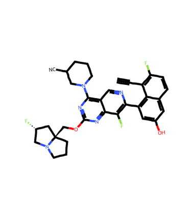 C#Cc1c(F)ccc2cc(O)cc(-c3ncc4c(N5CCCC(C#N)C5)nc(OC[C@@]56CCCN5C[C@H](F)C6)nc4c3F)c12